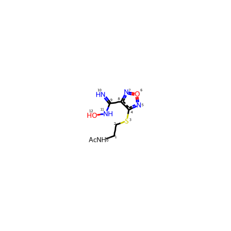 CC(=O)NCCSc1nonc1C(=N)NO